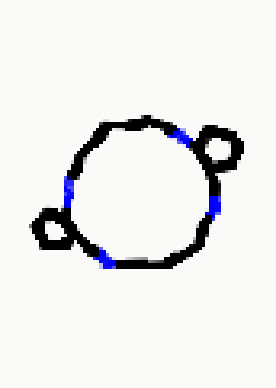 C1=CC=CNc2ccccc2C=NC=CC=CC=CN=Cc2ccccc2N=CC=C1